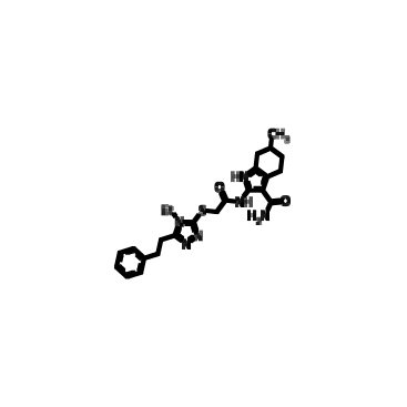 CCn1c(CCc2ccccc2)nnc1SCC(=O)Nc1[nH]c2c(c1C(N)=O)CCC(C)C2